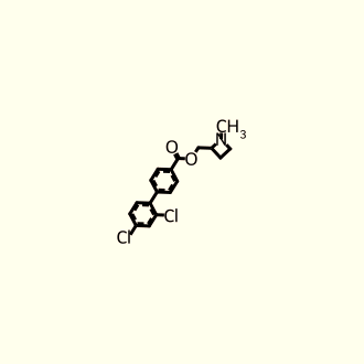 CN1CCC1COC(=O)c1ccc(-c2ccc(Cl)cc2Cl)cc1